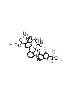 COC(=O)c1cc(-c2cccc(-n3ncc4cc(C(C)(C)C)cc(F)c4c3=O)c2COC(C)=O)cc2c(N)nn(C)c12